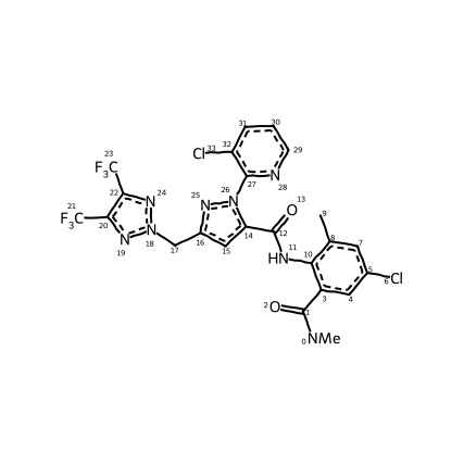 CNC(=O)c1cc(Cl)cc(C)c1NC(=O)c1cc(Cn2nc(C(F)(F)F)c(C(F)(F)F)n2)nn1-c1ncccc1Cl